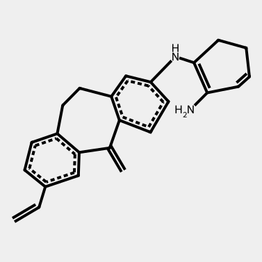 C=Cc1ccc2c(c1)C(=C)c1ccc(NC3=C(N)C=CCC3)cc1CC2